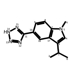 CC(C)c1cn(C)c2ccc(-c3nn[nH]n3)cc12